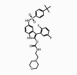 CC(C)(C)c1ccc(S(=O)(=O)Nc2ccc3[nH]c(OC(=O)NCCN4CCOCC4)c(-c4cc(F)ccc4F)c3c2)cc1